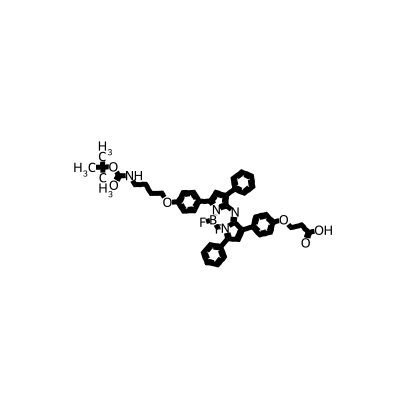 CC(C)(C)OC(=O)NCCCCOc1ccc(-c2cc(-c3ccccc3)c(/N=C3\N=C(c4ccccc4)C=C3c3ccc(OCCC(=O)O)cc3)n2B(F)F)cc1